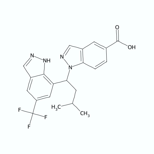 CC(C)CC(c1cc(C(F)(F)F)cc2cn[nH]c12)n1ncc2cc(C(=O)O)ccc21